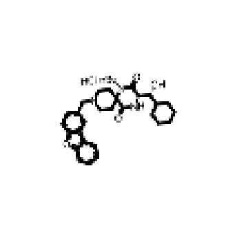 CCCCN1C(=O)[C@@H]([C@H](O)C2CCCCC2)NC(=O)C12CCN(Cc1ccc3oc4ccccc4c3c1)CC2.Cl